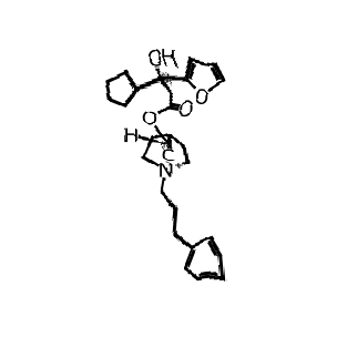 O=C(O[C@H]1C[N+]2(CCCc3ccccc3)CCC1CC2)[C@@](O)(c1ccco1)C1CCCC1